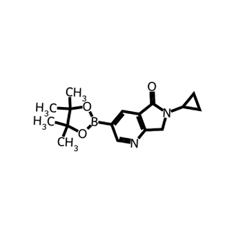 CC1(C)OB(c2cnc3c(c2)C(=O)N(C2CC2)C3)OC1(C)C